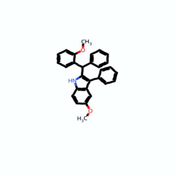 COc1ccc2[nH]c(C(c3ccccc3)c3ccccc3OC)c(-c3ccccc3)c2c1